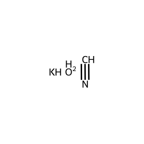 C#N.O.[KH]